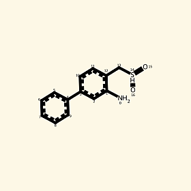 Nc1cc(-c2ccccc2)ccc1C[SH](=O)=O